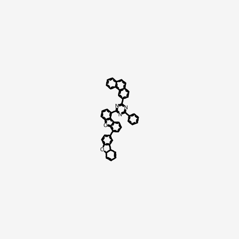 C1=CC2Oc3ccc(-c4cccc5c4oc4cccc(-c6nc(-c7ccccc7)nc(-c7ccc8ccc9ccccc9c8c7)n6)c45)cc3C2C=C1